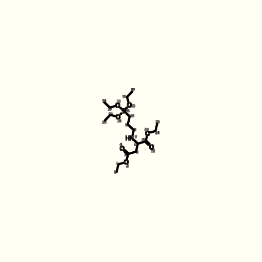 CCOC(=O)CC(NCCC[Si](OCC)(OCC)OCC)C(=O)OCC